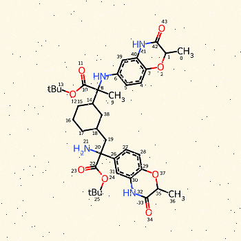 CC1Oc2ccc(NC(C)(C(=O)OC(C)(C)C)C3CCCC(CC(N)(C(=O)OC(C)(C)C)c4ccc5c(c4)NC(=O)C(C)O5)C3)cc2NC1=O